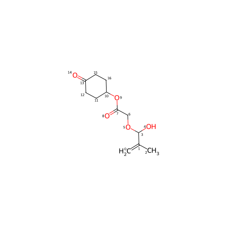 C=C(C)C(O)OCC(=O)OC1CCC(=O)CC1